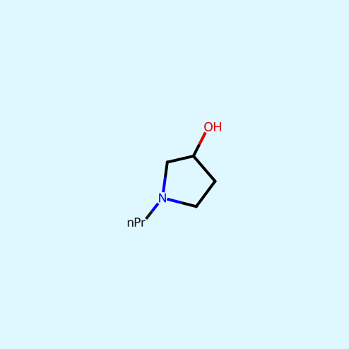 [CH2]CCN1CCC(O)C1